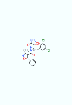 Cc1noc(-c2ccccc2)c1C(=O)N[C@@H](Cc1cc(Cl)cc(Cl)c1)C(O)C(N)=O